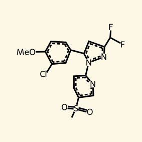 COc1ccc(-c2cc(C(F)F)nn2-c2ccc(S(C)(=O)=O)cn2)cc1Cl